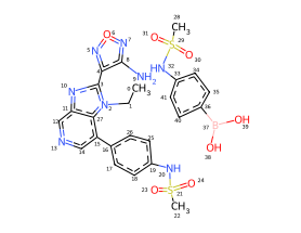 CCn1c(-c2nonc2N)nc2cncc(-c3ccc(NS(C)(=O)=O)cc3)c21.CS(=O)(=O)Nc1ccc(B(O)O)cc1